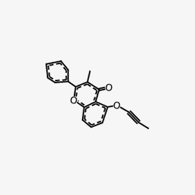 CC#COc1cccc2oc(-c3ccccc3)c(C)c(=O)c12